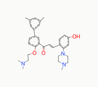 Cc1cc(C)cc(-c2ccc(OCCN(C)C)c(C(=O)C=Cc3ccc(O)cc3N3CCN(C)CC3)c2)c1